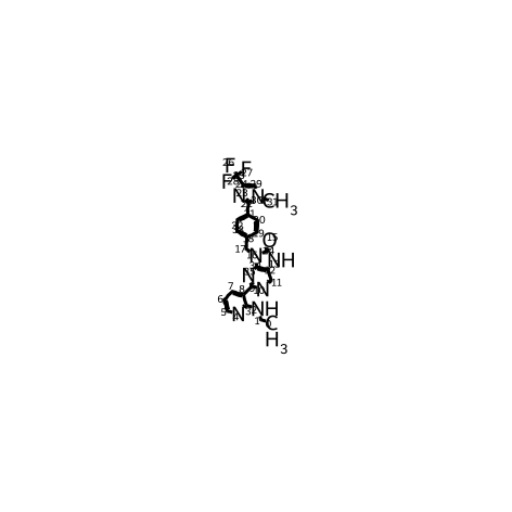 CCNc1ncccc1-c1ncc2[nH]c(=O)n(Cc3ccc(-c4nc(C(F)(F)F)cn4C)cc3)c2n1